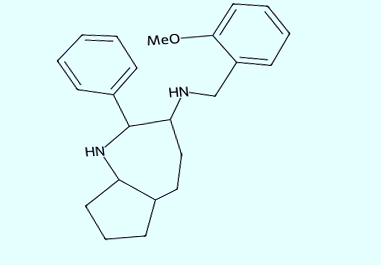 COc1ccccc1CNC1CCC2CCCC2NC1c1ccccc1